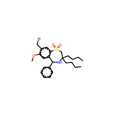 CCCCC1(CCCC)CS(=O)(=O)c2cc(CBr)c(OC)cc2C(c2ccccc2)N1